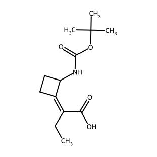 CCC(C(=O)O)=C1CCC1NC(=O)OC(C)(C)C